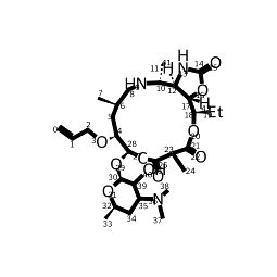 C=CCO[C@@H]1C[C@@H](C)CN[C@H](C)[C@H]2NC(=O)O[C@@H]2[C@@H](CC)OC(=O)C(C)C(=O)C[C@H]1O[C@@H]1O[C@H](C)CC(N(C)C)C1O